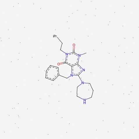 CC(C)CCn1c(=O)c2c(nc(N3CCCNCC3)n2Cc2ccccc2)n(C)c1=O